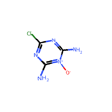 Nc1nc(Cl)nc(N)[n+]1[O-]